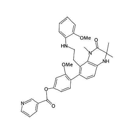 COc1ccccc1NCCc1c(-c2ccc(OC(=O)c3cccnc3)cc2OC)ccc2c1N(C)C(=O)C(C)(C)N2